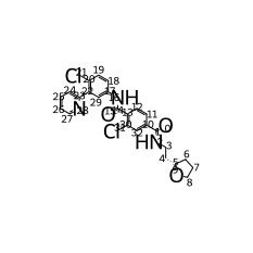 O=C(NCC[C@@H]1CCCO1)c1ccc(C(=O)Nc2ccc(Cl)c(-c3ccccn3)c2)c(Cl)c1